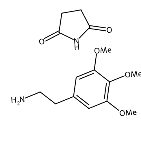 COc1cc(CCN)cc(OC)c1OC.O=C1CCC(=O)N1